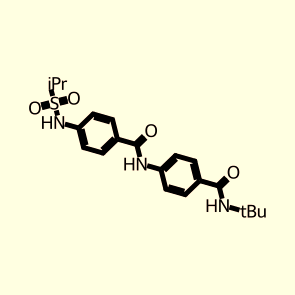 CC(C)S(=O)(=O)Nc1ccc(C(=O)Nc2ccc(C(=O)NC(C)(C)C)cc2)cc1